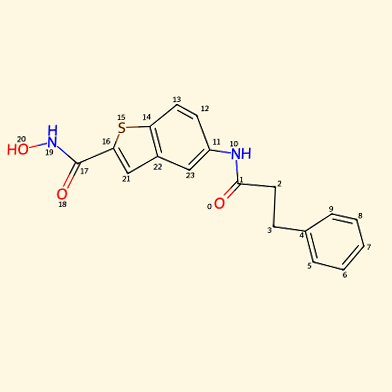 O=C(CCc1ccccc1)Nc1ccc2sc(C(=O)NO)cc2c1